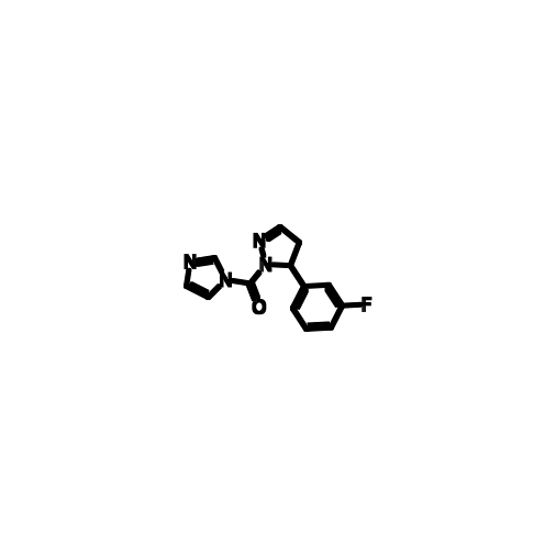 O=C(N1N=CCC1c1cccc(F)c1)n1ccnc1